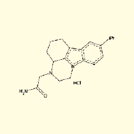 CC(C)c1ccc2c(c1)c1c3n2CCN(CC(N)=O)C3CCC1.Cl